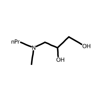 CCCN(C)CC(O)CO